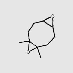 CC12CCC3OC3CCC1(C)O2